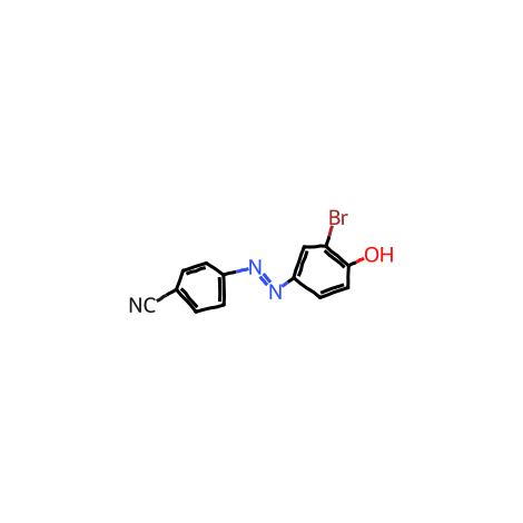 N#Cc1ccc(/N=N/c2ccc(O)c(Br)c2)cc1